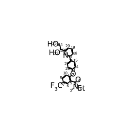 CCN(C)C(=O)c1cc(C(F)(F)F)ccc1Oc1ccc(-c2cccc(C(O)CO)n2)cc1